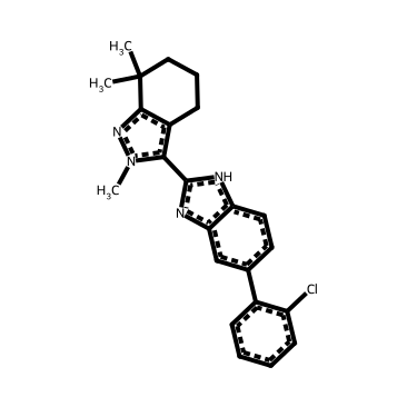 Cn1nc2c(c1-c1nc3cc(-c4ccccc4Cl)ccc3[nH]1)CCCC2(C)C